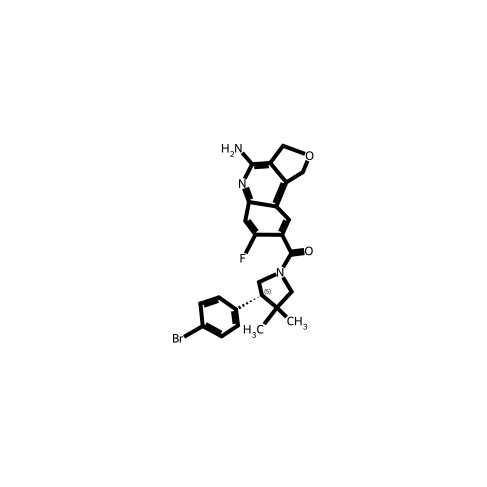 CC1(C)CN(C(=O)c2cc3c4c(c(N)nc3cc2F)COC4)C[C@H]1c1ccc(Br)cc1